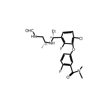 CC[C@@H](N[C@H](C)CNC=O)c1ccc(Cl)c(Oc2ccc(F)c(C(=O)N(C)C)c2)c1F